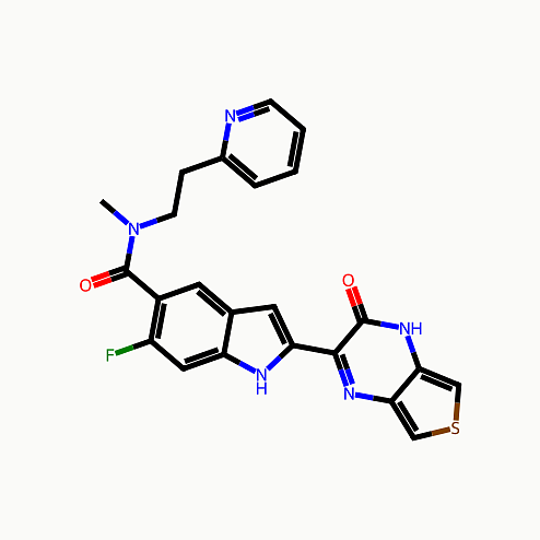 CN(CCc1ccccn1)C(=O)c1cc2cc(-c3nc4cscc4[nH]c3=O)[nH]c2cc1F